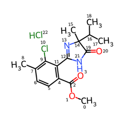 COC(=O)c1ccc(C)c(Cl)c1C1=NC(C)(C(C)C)C(=O)N1.Cl